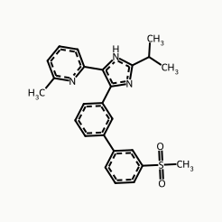 Cc1cccc(-c2[nH]c(C(C)C)nc2-c2cccc(-c3cccc(S(C)(=O)=O)c3)c2)n1